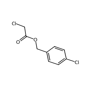 O=C(CCl)OCc1ccc(Cl)cc1